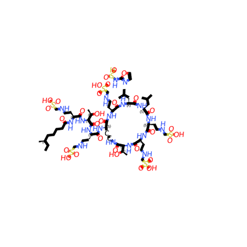 CC[C@@H](C)CCCCC(=O)N[C@@H](CCNCS(=O)(=O)O)C(=O)N[C@H](C(=O)N[C@@H](CCNCS(=O)(=O)O)C(=O)N[C@H]1CCNC(=O)[C@H]([C@@H](C)O)NC(=O)[C@H](CCNCS(=O)(=O)O)NC(=O)[C@H](CCNCS(=O)(=O)O)NC(=O)[C@H](CC(C)C)NC(=O)[C@@H](CC(C)C)NC(=O)[C@H](CCNCS(=O)(=O)O)NC1=O)[C@@H](C)O.O=[SH](=O)Nc1ncco1